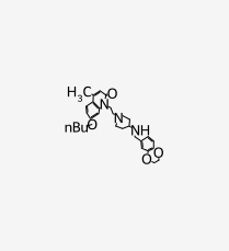 CCCCOc1ccc2c(C)cc(=O)n(CCN3CCC(NCc4ccc5c(c4)OCCO5)CC3)c2c1